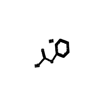 O=C(O)Oc1ccccc1.[KH]